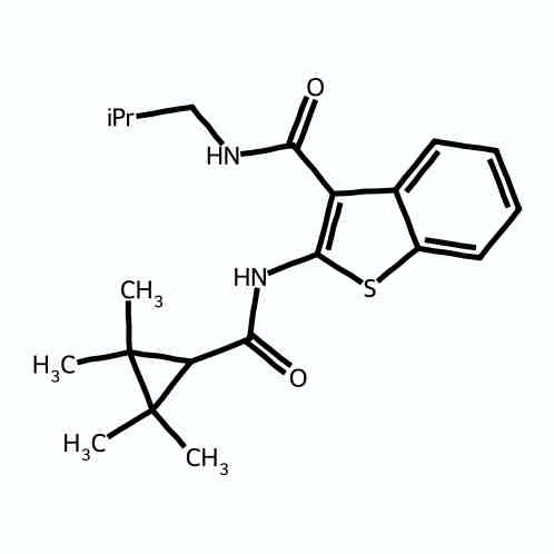 CC(C)CNC(=O)c1c(NC(=O)C2C(C)(C)C2(C)C)sc2ccccc12